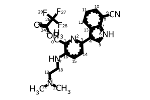 Cc1nc(-c2c[nH]c3c(C#N)cccc23)ccc1NCCN(C)C.O=C(O)C(F)(F)F